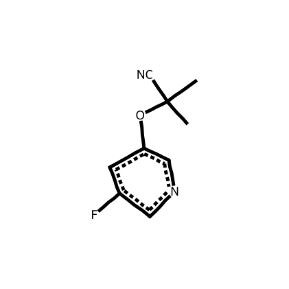 CC(C)(C#N)Oc1cncc(F)c1